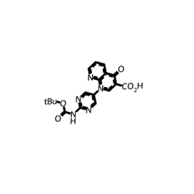 CC(C)(C)OC(=O)Nc1ncc(-n2cc(C(=O)O)c(=O)c3cccnc32)cn1